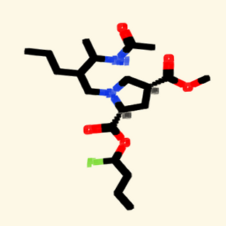 CCCC(F)OC(=O)[C@H]1C[C@@H](C(=O)OC)CN1CC(CCC)C(C)NC(C)=O